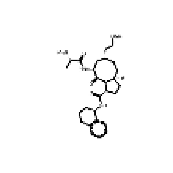 CN[C@@H](C)C(=O)N[C@H]1C[C@H](CCOC)CC[C@H]2CC[C@@H](C(=O)N[C@@H]3CCCc4ccccc43)N2C1=O